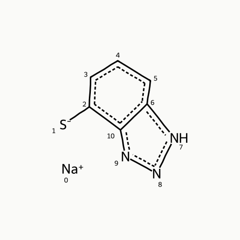 [Na+].[S-]c1cccc2[nH]nnc12